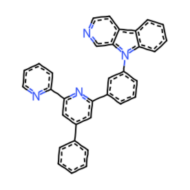 c1ccc(-c2cc(-c3cccc(-n4c5ccccc5c5ccncc54)c3)nc(-c3ccccn3)c2)cc1